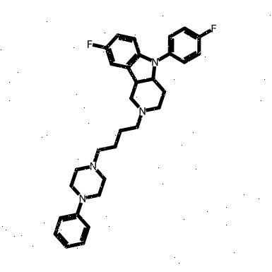 Fc1ccc(N2c3ccc(F)cc3C3CN(CCCCN4CCN(c5ccccc5)CC4)CCC32)cc1